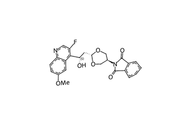 COc1ccc2ncc(F)c([C@@H](O)C[C@H]3OC[C@H](N4C(=O)c5ccccc5C4=O)CO3)c2c1